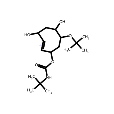 CC(C)(C)NC(=O)OC1/C=C/C(O)CC(O)C(OC(C)(C)C)C1